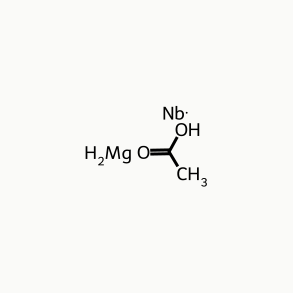 CC(=O)O.[MgH2].[Nb]